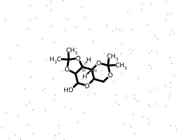 CC1(C)OCC2OC(O)C3OC(C)(C)O[C@H]3[C@@H]2O1